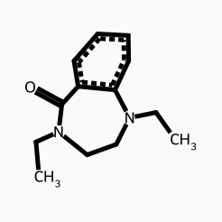 CCN1CCN(CC)c2ccccc2C1=O